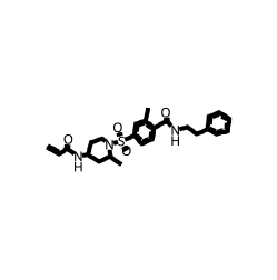 C=CC(=O)NC1CCN(S(=O)(=O)c2ccc(C(=O)NCCc3ccccc3)c(C)c2)C(C)C1